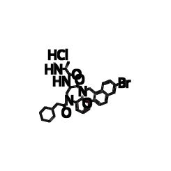 CN[C@@H](C)C(=O)N[C@H]1CN(C(=O)CC2CCCCC2)c2ccccc2N(Cc2c(OC)ccc3cc(Br)ccc23)C1=O.Cl